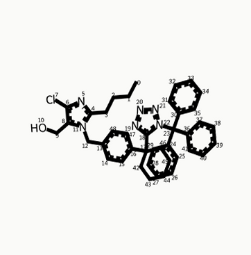 CCCCc1nc(Cl)c(CO)n1Cc1ccc(C2(c3nnnn3C(c3ccccc3)(c3ccccc3)c3ccccc3)CCCCC2)cc1